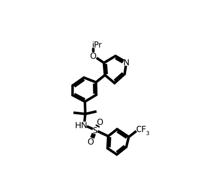 CC(C)Oc1cnccc1-c1cccc(C(C)(C)NS(=O)(=O)c2cccc(C(F)(F)F)c2)c1